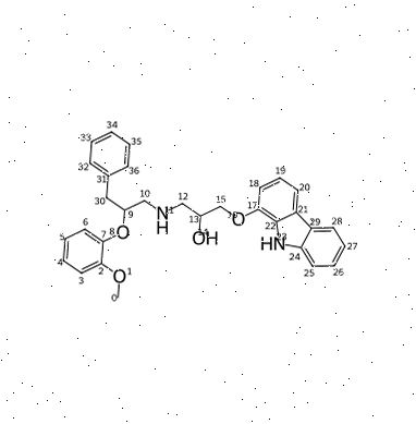 COc1ccccc1OC(CNCC(O)COc1cccc2c1[nH]c1ccccc12)Cc1ccccc1